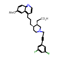 COc1ccc2nccc(CCC[C@@H]3CCN(CC#Cc4cc(F)cc(F)c4)C[C@@H]3CC(=O)O)c2c1